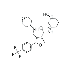 O=C(N[C@@H]1CCC[C@H](O)C1)c1noc(-c2ccc(C(F)(F)F)cc2)c1CNC1CCOCC1